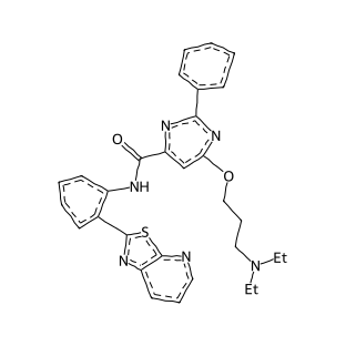 CCN(CC)CCCOc1cc(C(=O)Nc2ccccc2-c2nc3cccnc3s2)nc(-c2ccccc2)n1